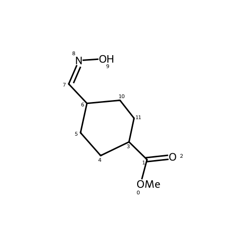 COC(=O)C1CCC(/C=N\O)CC1